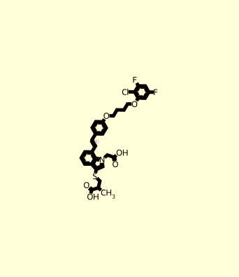 CC(CSc1cn(CC(=O)O)c2c(/C=C/c3ccc(OCCCCOc4cc(F)cc(F)c4Cl)cc3)cccc12)C(=O)O